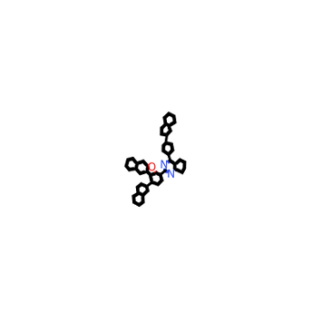 c1ccc2cc(-c3ccc(-c4nc(-c5ccc(-c6ccc7ccccc7c6)c6c5oc5cc7ccccc7cc56)nc5ccccc45)cc3)ccc2c1